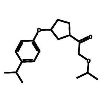 CC(C)OCC(=O)C1CCC(Oc2ccc(C(C)C)cc2)C1